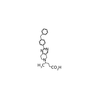 CC(CCC(=O)O)N1CCc2nc(-c3ccc(Cc4ccccc4)cc3)ncc2C1